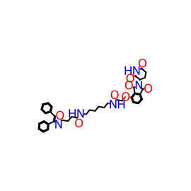 O=C(CCc1nc(-c2ccccc2)c(-c2ccccc2)o1)NCCCCCCNC(=O)COc1cccc2c1C(=O)N(C1CCC(=O)NC1=O)C2=O